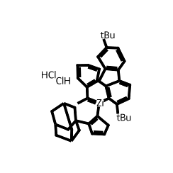 C/[C](c1ccccc1)=[Zr](\[C]1=C(C23CC4CC(CC(C4)C2)C3)C=CC1)[c]1c(C(C)(C)C)ccc2c1Cc1cc(C(C)(C)C)ccc1-2.Cl.Cl